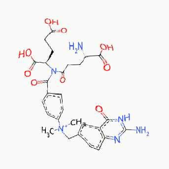 C[N+](C)(Cc1ccc2nc(N)[nH]c(=O)c2c1)c1ccc(C(=O)N(C(=O)CC[C@H](N)C(=O)O)[C@H](CCC(=O)O)C(=O)O)cc1